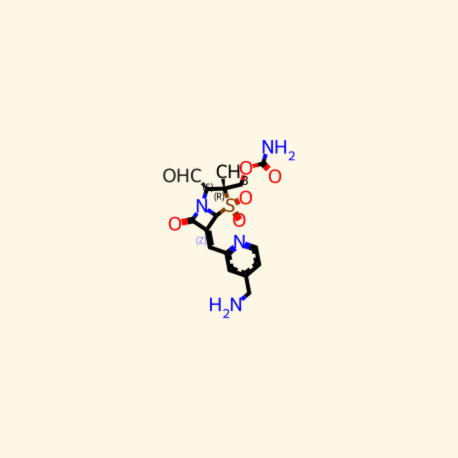 C[C@]1(COC(N)=O)[C@H](C=O)N2C(=O)/C(=C/c3cc(CN)ccn3)C2S1(=O)=O